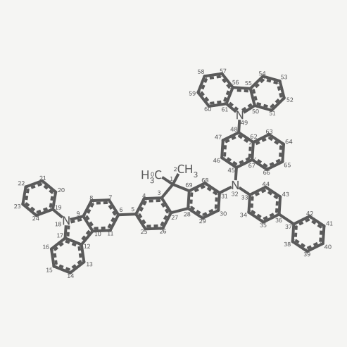 CC1(C)c2cc(-c3ccc4c(c3)c3ccccc3n4-c3ccccc3)ccc2-c2ccc(N(c3ccc(-c4ccccc4)cc3)c3ccc(-n4c5ccccc5c5ccccc54)c4ccccc34)cc21